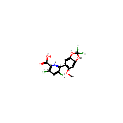 COc1cc2c(cc1-c1nc(C(=O)O)c(Cl)cc1F)OC(F)(F)O2